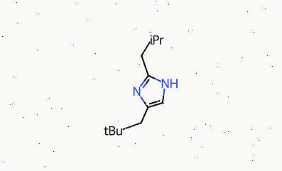 CC(C)Cc1nc(CC(C)(C)C)c[nH]1